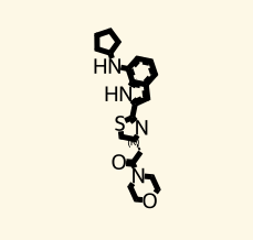 O=C(C[C@@H]1CSC(c2cc3cccc(NC4CCCC4)c3[nH]2)=N1)N1CCOCC1